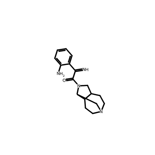 N=C(C(=O)N1CC2CCN3CCC2C1C3)c1ccccc1N